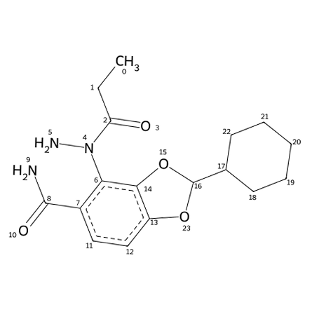 CCC(=O)N(N)c1c(C(N)=O)ccc2c1OC(C1CCCCC1)O2